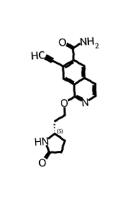 C#Cc1cc2c(OCC[C@@H]3CCC(=O)N3)nccc2cc1C(N)=O